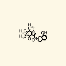 CC1c2[nH]cc(C(=O)N3CCc4cccc(O)c4C3)c2C(=O)N(C)C1C